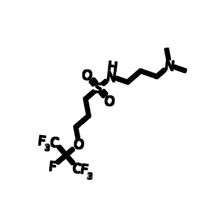 CN(C)CCCNS(=O)(=O)CCCOC(F)(C(F)(F)F)C(F)(F)F